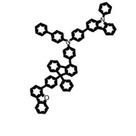 c1ccc(-c2ccc(N(c3ccc(-c4ccc5c(c4)c4ccccc4n5-c4ccccc4)cc3)c3ccc(-c4cccc5c4-c4ccccc4C5(c4ccccc4)c4ccc(-c5cccc6c5oc5ccccc56)cc4)cc3)cc2)cc1